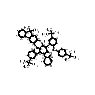 CC(C)(C)c1ccc(Nc2ccc(C(C)(C)C)cc2-c2c3c4c(c5cc(C(C)(C)C)ccc5n4-c4cc5c(cc4B3)C(C)(C)c3ccccc3-5)c3c2oc2ccccc23)cc1